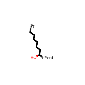 CCCCCC(O)CCCCCCC(C)C